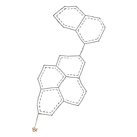 Brc1cc2ccc3cc(-c4cccc5ccccc45)cc4ccc(c1)c2c34